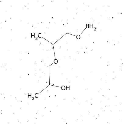 BOCC(C)OCC(C)O